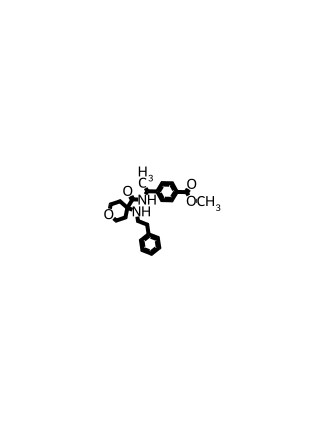 COC(=O)c1ccc(C(C)NC(=O)C2(NCCc3ccccc3)CCOCC2)cc1